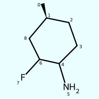 C[C@H]1CCC(N)C(F)C1